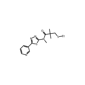 CCSCC(C)(C)C(=O)N(C)c1nnc(-c2cccnc2)s1